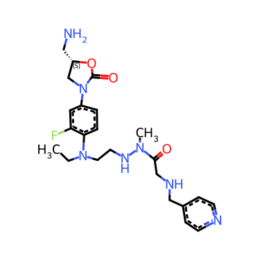 CCN(CCNN(C)C(=O)CNCc1ccncc1)c1ccc(N2C[C@H](CN)OC2=O)cc1F